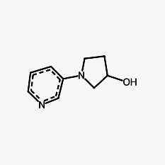 OC1CCN(c2cccnc2)C1